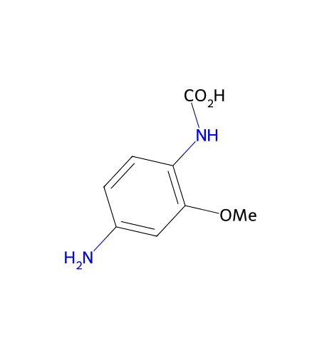 COc1cc(N)ccc1NC(=O)O